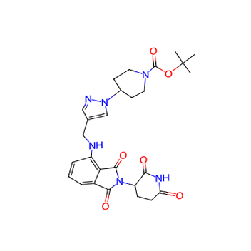 CC(C)(C)OC(=O)N1CCC(n2cc(CNc3cccc4c3C(=O)N(C3CCC(=O)NC3=O)C4=O)cn2)CC1